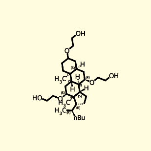 CCCC[C@@H](C)[C@H]1CC[C@H]2[C@@H]3[C@H](OCCO)C[C@@H]4CC(OCCO)CC[C@]4(C)[C@H]3C[C@H](OCCO)[C@]12C